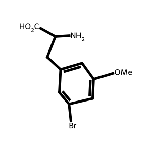 COc1cc(Br)cc(CC(N)C(=O)O)c1